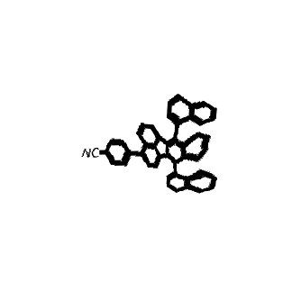 N#Cc1ccc(-c2ccc3c4c(cccc24)-c2c-3c(-c3cccc4ccccc34)c3ccccc3c2-c2cccc3ccccc23)cc1